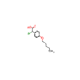 CCCCCOc1ccc(C(Br)C(=O)O)cc1